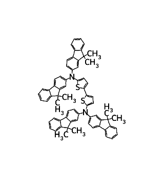 CC1(C)c2ccccc2-c2ccc(N(c3ccc4c(c3)C(C)(C)c3ccccc3-4)c3ccc(-c4ccc(N(c5ccc6c(c5)C(C)(C)c5ccccc5-6)c5ccc6c(c5)C(C)(C)c5ccccc5-6)s4)s3)cc21